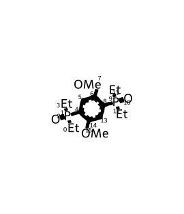 CCP(=O)(CC)c1cc(OC)c(P(=O)(CC)CC)cc1OC